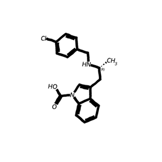 C[C@H](Cc1cn(C(=O)O)c2ccccc12)NCc1ccc(Cl)cc1